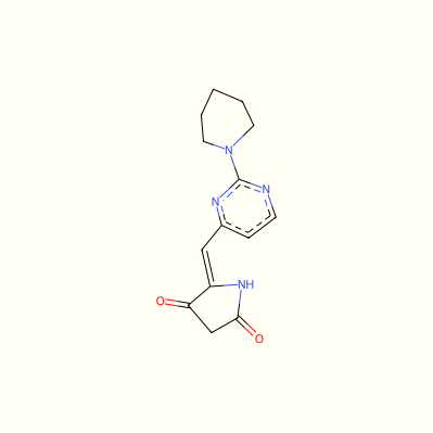 O=C1CC(=O)/C(=C/c2ccnc(N3CCCCC3)n2)N1